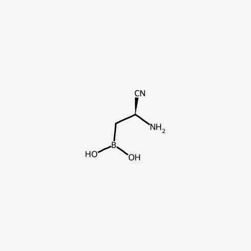 N#C[C@@H](N)CB(O)O